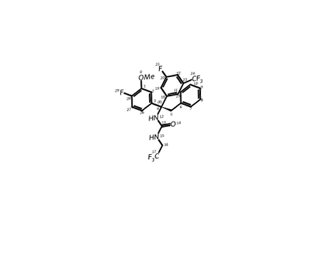 COc1cc([C@@](Cc2ccccc2)(NC(=O)NCC(F)(F)F)c2cc(F)cc(C(F)(F)F)c2)ccc1F